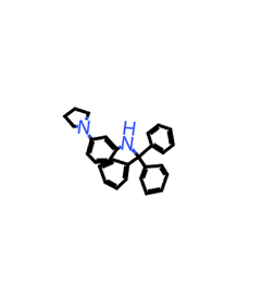 c1ccc(C(Nc2cccc(N3CCCC3)c2)(c2ccccc2)c2ccccc2)cc1